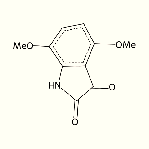 COc1ccc(OC)c2c1NC(=O)C2=O